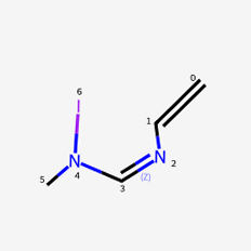 C=C/N=C\N(C)I